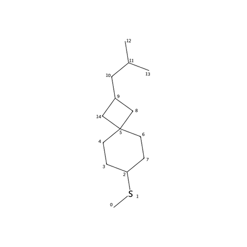 CSC1CCC2(CC1)CC(CC(C)C)C2